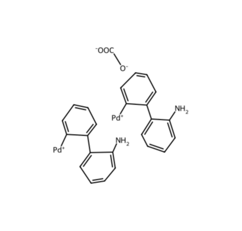 Nc1ccccc1-c1cccc[c]1[Pd+].Nc1ccccc1-c1cccc[c]1[Pd+].O=C([O-])[O-]